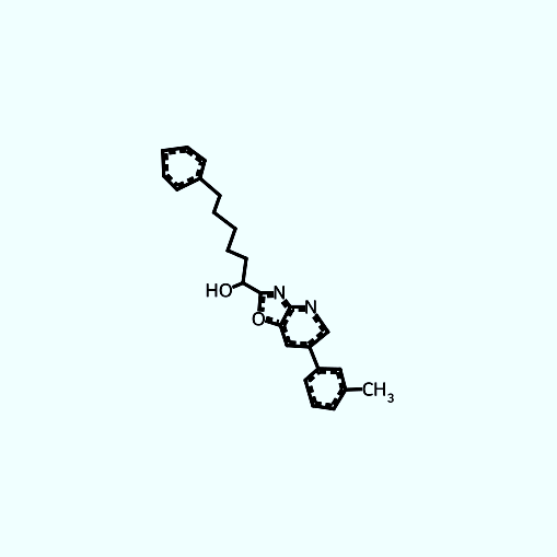 Cc1cccc(-c2cnc3nc(C(O)CCCCCc4ccccc4)oc3c2)c1